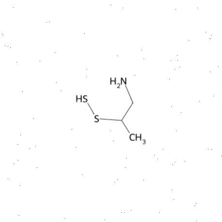 CC(CN)SS